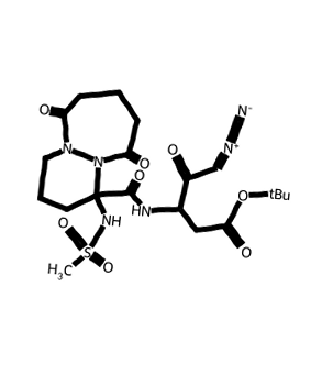 CC(C)(C)OC(=O)CC(NC(=O)C1(NS(C)(=O)=O)CCCN2C(=O)CCCC(=O)N21)C(=O)C=[N+]=[N-]